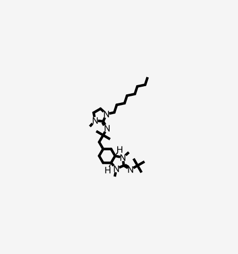 CCCCCCCCN1CCN(C)/C1=N\C(C)(C)CC1CC[C@H]2[C@@H](C1)N(C)/C(=N\C(C)(C)C)N2C